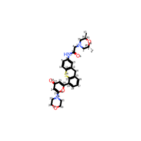 C[C@@H]1CN(CC(=O)Nc2ccc3c(c2)Cc2cccc(-c4cc(=O)cc(N5CCOCC5)o4)c2S3)C[C@@H](C)O1